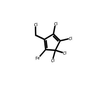 ClCC1=[C]([Fe])C(Cl)(Cl)C(Cl)=C1Cl